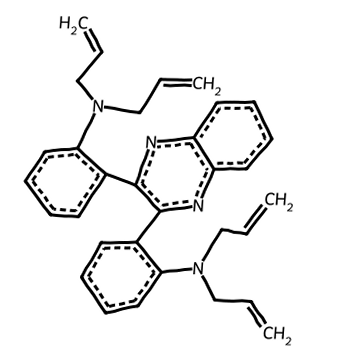 C=CCN(CC=C)c1ccccc1-c1nc2ccccc2nc1-c1ccccc1N(CC=C)CC=C